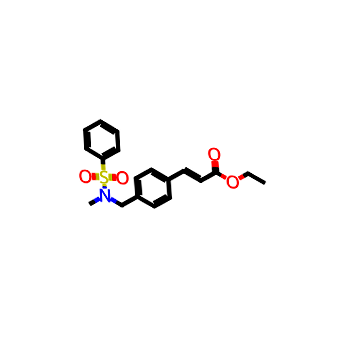 CCOC(=O)C=Cc1ccc(CN(C)S(=O)(=O)c2ccccc2)cc1